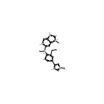 CCc1cc(-c2cn(C)cn2)ccc1N(C)c1cc2c(cn1)ncn2C